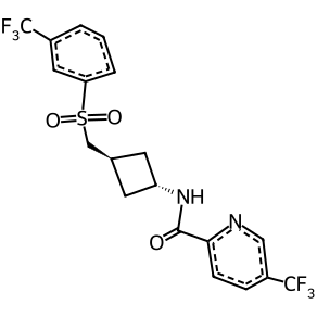 O=C(N[C@H]1C[C@H](CS(=O)(=O)c2cccc(C(F)(F)F)c2)C1)c1ccc(C(F)(F)F)cn1